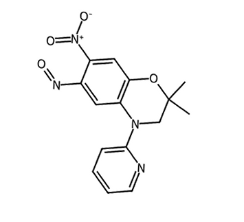 CC1(C)CN(c2ccccn2)c2cc(N=O)c([N+](=O)[O-])cc2O1